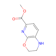 COC(=O)c1ccc2c(n1)OCCN2